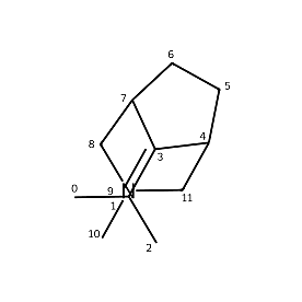 CC(C)=C1C2CCC1CN(C)C2